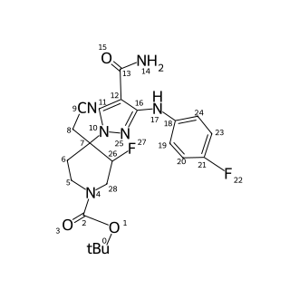 CC(C)(C)OC(=O)N1CCC(CC#N)(n2cc(C(N)=O)c(Nc3ccc(F)cc3)n2)C(F)C1